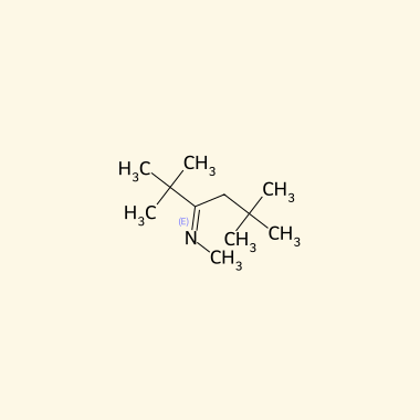 C/N=C(\CC(C)(C)C)C(C)(C)C